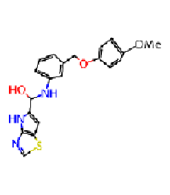 COc1ccc(OCc2cccc(NC(O)c3cc4scnc4[nH]3)c2)cc1